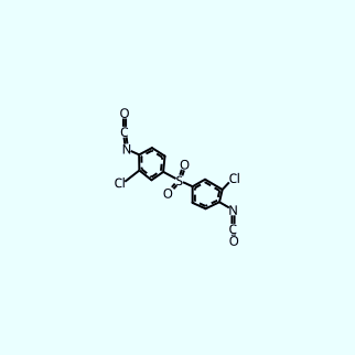 O=C=Nc1ccc(S(=O)(=O)c2ccc(N=C=O)c(Cl)c2)cc1Cl